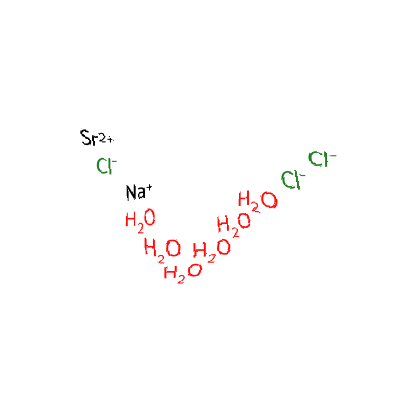 O.O.O.O.O.O.[Cl-].[Cl-].[Cl-].[Na+].[Sr+2]